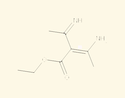 CCOC(=O)/C(C(C)=N)=C(\C)N